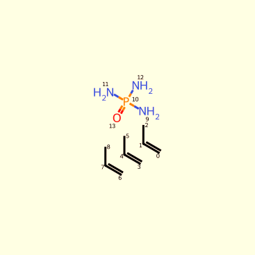 C=CC.C=CC.C=CC.NP(N)(N)=O